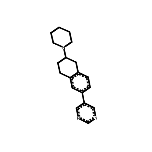 c1ncc(-c2ccc3c(c2)CCC(N2CCCCC2)C3)cn1